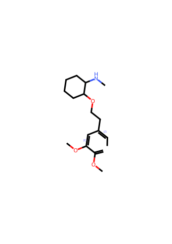 C=C(OC)/C(=C\C(=C/C)CCOC1CCCCC1NC)OC